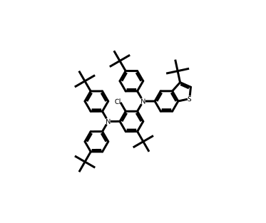 CC(C)(C)c1ccc(N(c2ccc(C(C)(C)C)cc2)c2cc(C(C)(C)C)cc(N(c3ccc(C(C)(C)C)cc3)c3ccc4scc(C(C)(C)C)c4c3)c2Cl)cc1